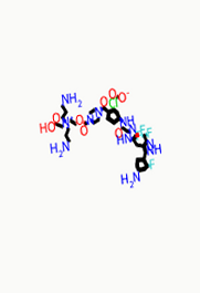 NCCC[N+](CCCN)(CCOC(=O)N1CCN(C(=O)c2ccc(NC(=O)c3ncc(Cc4c(C(F)(F)F)n[nH]c4-c4ccc(N)cc4F)[nH]3)cc2Cl)CC1)CC(=O)O.O=C[O-]